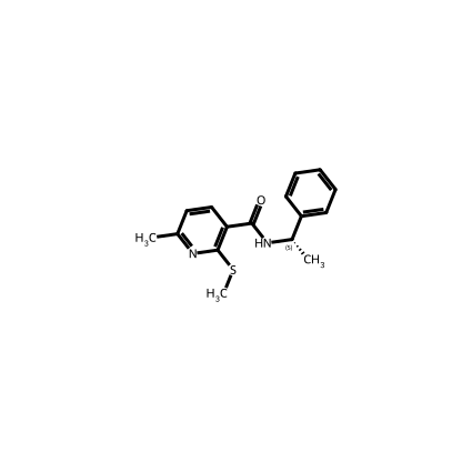 CSc1nc(C)ccc1C(=O)N[C@@H](C)c1ccccc1